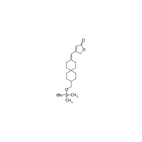 CC(C)(C)[Si](C)(C)OCC1CCC2(CCC(=CC3=CC(=O)OC3)CC2)CC1